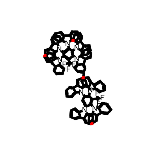 FC(F)(F)c1c(-n2c3ccccc3c3ccccc32)c(-n2c3ccccc3c3ccccc32)cc(-n2c3ccccc3c3ccccc32)c1-n1c2ccccc2c2cc(-c3ccc4c(c3)c3ccccc3n4-c3c(-n4c5ccccc5c5ccccc54)c(-n4c5ccccc5c5ccccc54)c(-n4c5ccccc5c5ccccc54)c(-n4c5ccccc5c5ccccc54)c3C(F)(F)F)ccc21